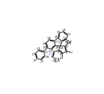 CC/C=C\C1=C(C)C(C)=C(Br)C12c1ccccc1-c1ccc(-c3ccccc3)cc12